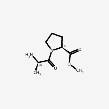 COC(=O)[C@@H]1CCCN1C(=O)[C@@H](C)N